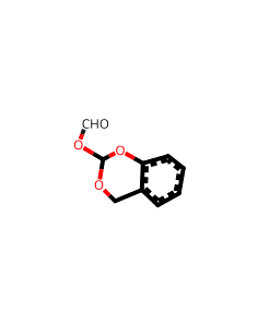 O=COC1OCc2ccccc2O1